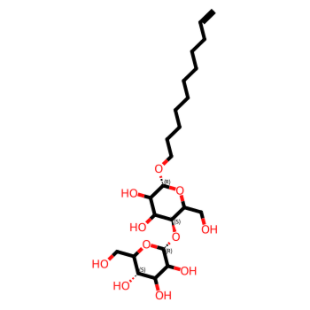 C=CCCCCCCCCCO[C@@H]1OC(CO)[C@@H](O[C@H]2OC(CO)[C@@H](O)C(O)C2O)C(O)C1O